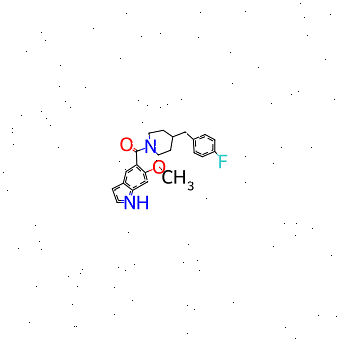 COc1cc2[nH]ccc2cc1C(=O)N1CCC(Cc2ccc(F)cc2)CC1